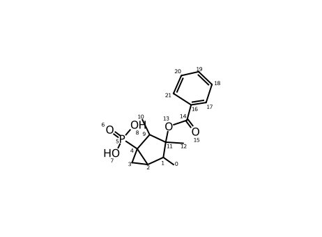 CC1C2CC2(P(=O)(O)O)C(C)C1(C)OC(=O)c1ccccc1